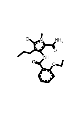 CCCc1c(NC(=O)c2ccccc2OCC)c(C(N)=O)n(C)c1Cl